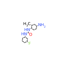 Cc1cc(N)ccc1NC(=O)Nc1cccc(F)c1